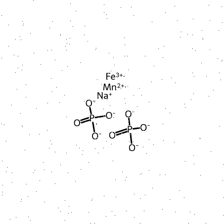 O=P([O-])([O-])[O-].O=P([O-])([O-])[O-].[Fe+3].[Mn+2].[Na+]